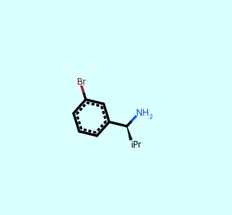 CC(C)[C@H](N)c1cccc(Br)c1